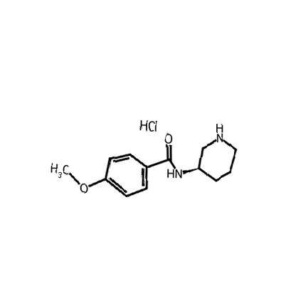 COc1ccc(C(=O)N[C@@H]2CCCNC2)cc1.Cl